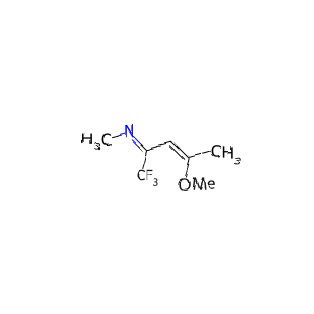 C/N=C(/C=C(/C)OC)C(F)(F)F